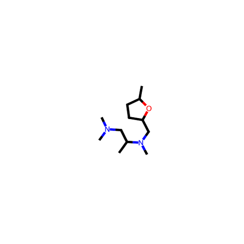 CC1CCC(CN(C)C(C)CN(C)C)O1